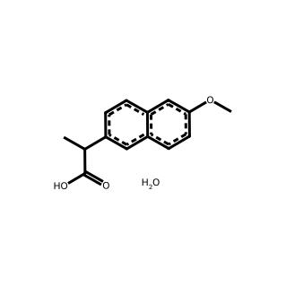 COc1ccc2cc(C(C)C(=O)O)ccc2c1.O